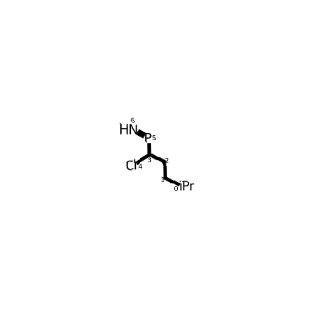 CC(C)CCC(Cl)P=N